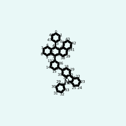 c1ccc(-c2c3ccccc3c(-c3cccc(-c4ccc5c6ccccc6n(-c6ccccc6)c5c4)c3)c3ccc4ccccc4c23)cc1